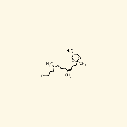 C/C(=C/CCC1(C)OCC(C)CO1)CCCC(C)CCCC(C)C